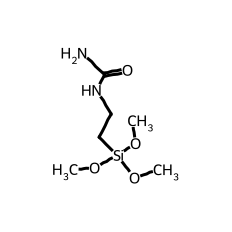 CO[Si](CCNC(N)=O)(OC)OC